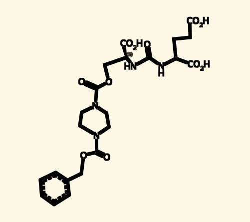 O=C(O)CCC(NC(=O)N[C@@H](COC(=O)N1CCN(C(=O)OCc2ccccc2)CC1)C(=O)O)C(=O)O